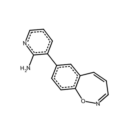 Nc1ncccc1-c1ccc2c(c1)C=CC=NO2